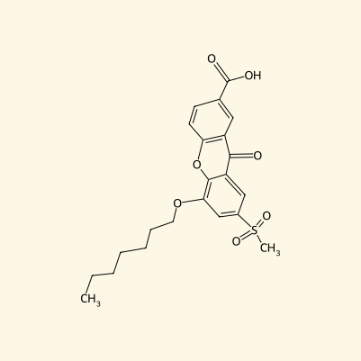 CCCCCCCOc1cc(S(C)(=O)=O)cc2c(=O)c3cc(C(=O)O)ccc3oc12